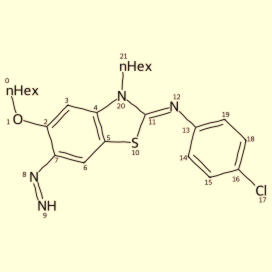 CCCCCCOc1cc2c(cc1N=N)sc(=Nc1ccc(Cl)cc1)n2CCCCCC